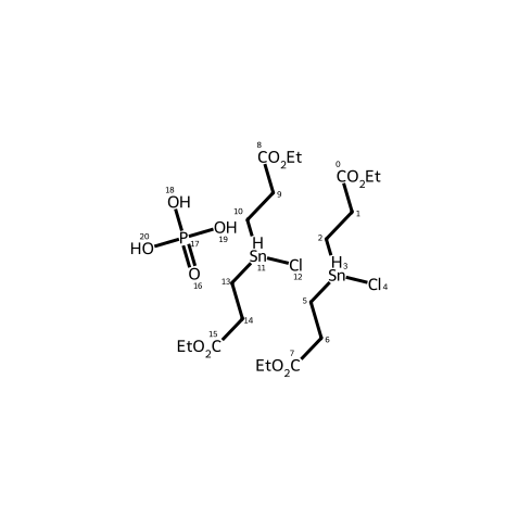 CCOC(=O)C[CH2][SnH]([Cl])[CH2]CC(=O)OCC.CCOC(=O)C[CH2][SnH]([Cl])[CH2]CC(=O)OCC.O=P(O)(O)O